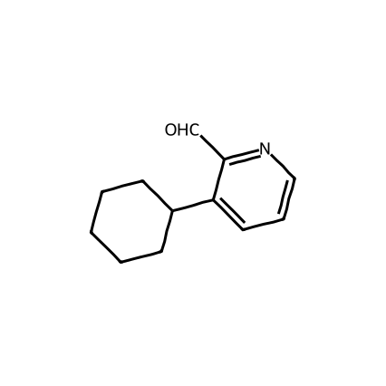 O=Cc1ncccc1C1CCCCC1